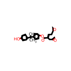 CC(C)(c1ccc(O)cc1)c1ccc(OC(=O)C(=CCC2CO2)CC2CO2)cc1